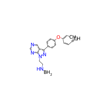 BNCCn1nc(-c2ccc(OC(/C=C\C#C)=C/C)cc2)c2cncnc21